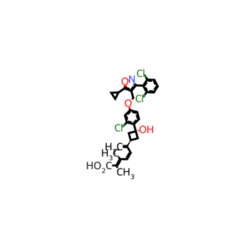 C=C(/C=C\C(C)=C(/C)C(=O)O)[C@H]1C[C@@](O)(c2ccc(OCc3c(-c4c(Cl)cccc4Cl)noc3C3CC3)cc2Cl)C1